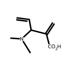 C=CC(C(=C)C(=O)O)N(C)C